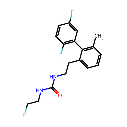 Cc1cccc(CCNC(=O)NCCF)c1-c1cc(F)ccc1F